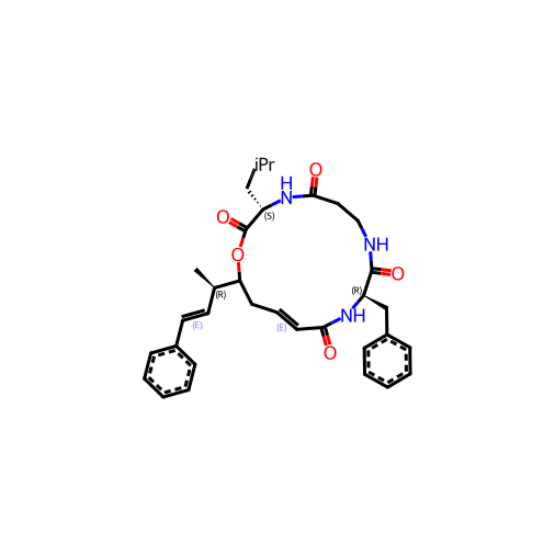 CC(C)C[C@@H]1NC(=O)CCNC(=O)[C@@H](Cc2ccccc2)NC(=O)/C=C/CC([C@H](C)/C=C/c2ccccc2)OC1=O